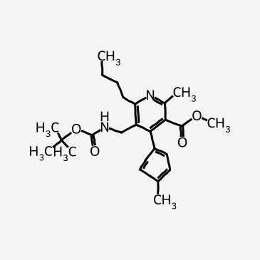 CCCCc1nc(C)c(C(=O)OC)c(-c2ccc(C)cc2)c1CNC(=O)OC(C)(C)C